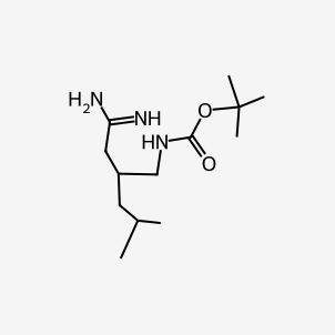 CC(C)CC(CNC(=O)OC(C)(C)C)CC(=N)N